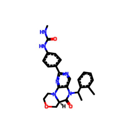 CNC(=O)Nc1ccc(-c2ncc3c(n2)N2CCOC[C@@H]2C(=O)N3C(C)c2ccccc2C)cc1